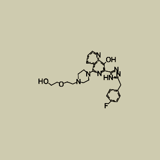 OCCOCCN1CCN(c2nc(-c3nnc(Cc4ccc(F)cc4)[nH]3)c(O)c3ncccc23)CC1